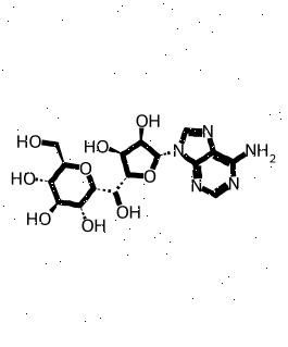 Nc1ncnc2c1ncn2[C@@H]1O[C@H](C(O)[C@H]2O[C@H](CO)[C@@H](O)[C@H](O)[C@H]2O)[C@@H](O)[C@H]1O